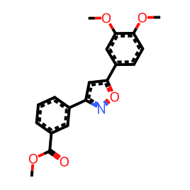 COC(=O)c1cccc(-c2cc(-c3ccc(OC)c(OC)c3)on2)c1